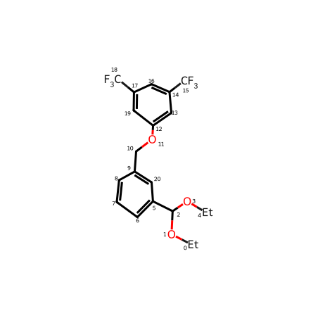 CCOC(OCC)c1cccc(COc2cc(C(F)(F)F)cc(C(F)(F)F)c2)c1